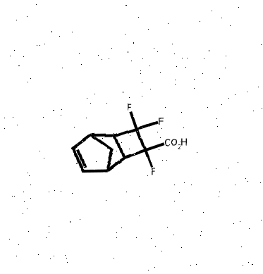 O=C(O)C1(F)C2C3C=CC(C3)C2C1(F)F